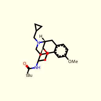 COc1ccc2c(c1)C13CCN(CC4CC4)[C@H](C2)[C@]12CCC(NC(=O)C(C)(C)C)(CO2)C3